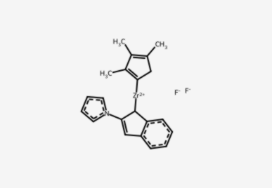 CC1=C(C)C(C)=[C]([Zr+2][CH]2C(n3cccc3)=Cc3ccccc32)C1.[F-].[F-]